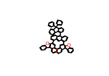 c1ccc(C2(c3ccccc3)c3ccccc3-c3c(-c4c5cccc(-c6cc7ccccc7c7c6oc6ccccc67)c5cc5c(-c6cc7ccccc7c7c6oc6ccccc67)cccc45)cccc32)cc1